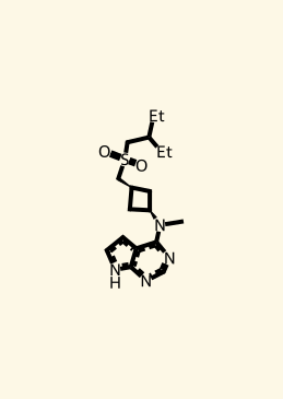 CCC(CC)CS(=O)(=O)C[C@H]1C[C@@H](N(C)c2ncnc3[nH]ccc23)C1